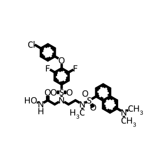 CN(C)c1ccc2c(S(=O)(=O)N(C)CCN(CC(=O)NO)S(=O)(=O)c3cc(F)c(Oc4ccc(Cl)cc4)c(F)c3)cccc2c1